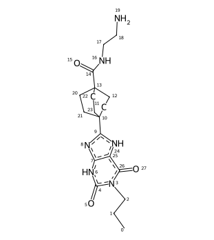 CCCn1c(=O)[nH]c2nc(C34CCC(C(=O)NCCN)(CC3)CC4)[nH]c2c1=O